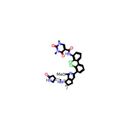 COc1nc(-c2cccc(-c3cccc(NC(=O)c4cn(C)c(=O)n(C)c4=O)c3Cl)c2Cl)cc2c1[C@@H](NC[C@@H]1CNC(=O)C1)[C@@H](C)C2